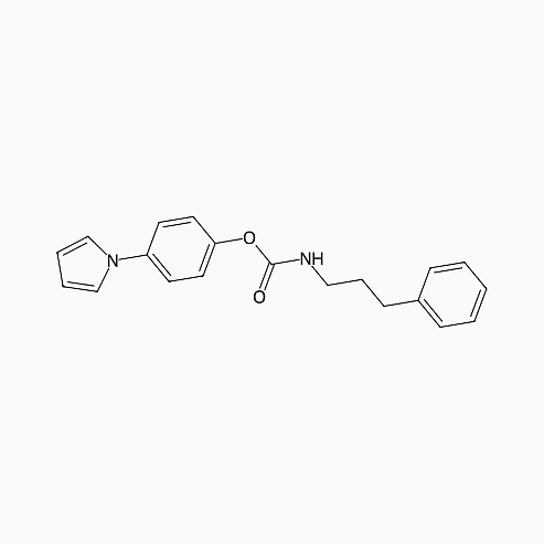 O=C(NCCCc1ccccc1)Oc1ccc(-n2cccc2)cc1